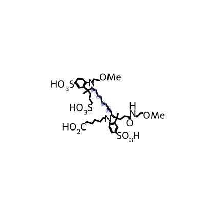 COCCNC(=O)CCC1(C)C(/C=C/C=C/C=C/C=C2/N(CCOC)c3ccc(S(=O)(=O)O)cc3C2(C)CCCS(=O)(=O)O)=[N+](CCCCCC(=O)O)c2ccc(S(=O)(=O)O)cc21